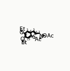 CCOc1cc2cc(CN(OC(C)=O)C(C)=O)sc2cc1OCC